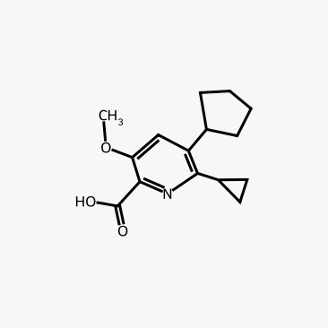 COc1cc(C2CCCC2)c(C2CC2)nc1C(=O)O